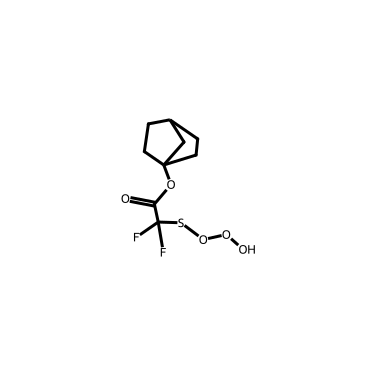 O=C(OC12CCC(CC1)C2)C(F)(F)SOOO